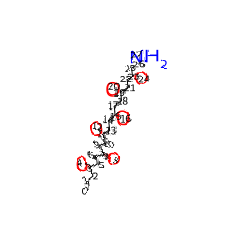 CCCC(=O)CCC(=O)CCC(=O)CCC(=O)CCC(=O)CCC(=O)CCN